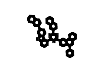 c1ccc(-c2cc3ccccc3c3cc(-c4nc(-c5ccc6ccccc6c5)nc(-c5cccc6oc7cc(-c8ccc9ccccc9c8)ccc7c56)n4)ccc23)cc1